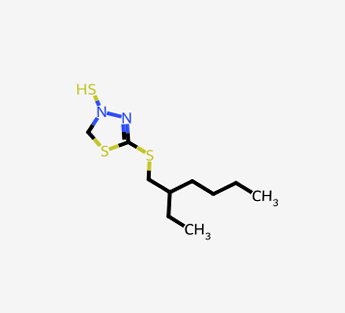 CCCCC(CC)CSC1=NN(S)CS1